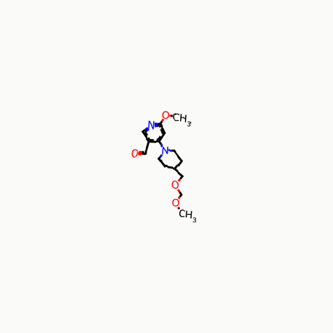 COCOCC1CCN(c2cc(OC)ncc2C=O)CC1